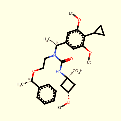 CCOc1cc([C@@H](C)N(CCO[C@@H](C)c2ccccc2)C(=O)N[C@]2(C(=O)O)C[C@@H](OCC)C2)cc(OCC)c1C1CC1